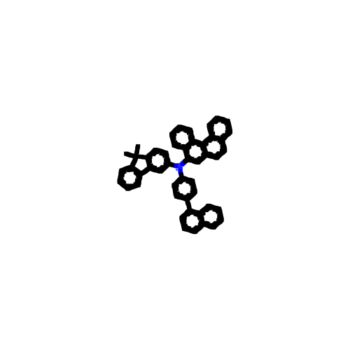 CC1(C)c2ccccc2-c2cc(N(c3ccc(-c4cccc5ccccc45)cc3)c3cc4ccc5ccccc5c4c4ccccc34)ccc21